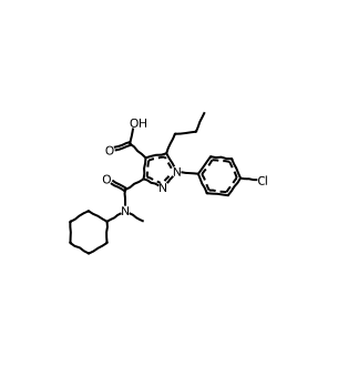 CCCc1c(C(=O)O)c(C(=O)N(C)C2CCCCC2)nn1-c1ccc(Cl)cc1